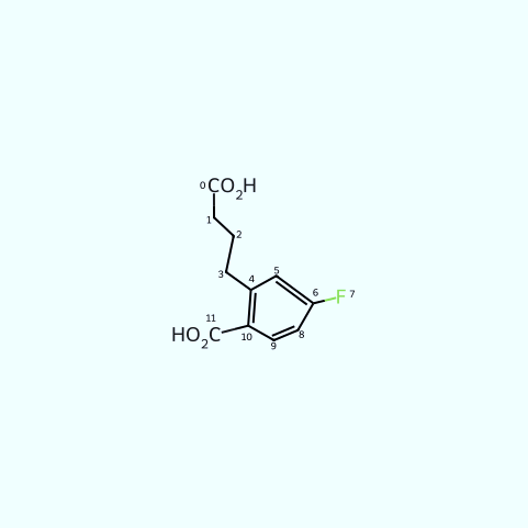 O=C(O)CCCc1cc(F)ccc1C(=O)O